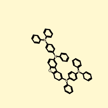 C1=CCC(N(c2ccccc2)c2ccc(N(C3=Cc4c(oc5ccc(N(c6ccccc6)c6ccc(N(c7ccccc7)c7ccccc7)cc6)cc45)CC3)c3ccccc3)cc2)C=C1